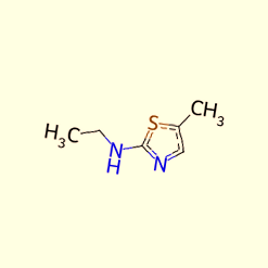 CCNc1ncc(C)s1